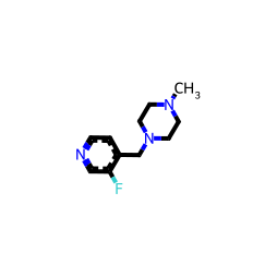 CN1CCN(Cc2ccncc2F)CC1